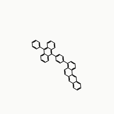 c1ccc(-c2c3ccccc3c(-c3ccc(-c4cccc5c4ccc4cc6ccccc6cc45)cc3)c3ccccc23)cc1